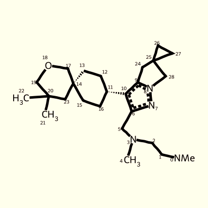 CNCCN(C)Cc1nn2c(c1[C@H]1CC[C@@]3(CC1)COCC(C)(C)C3)CC1(CC1)C2